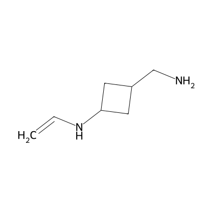 C=CNC1CC(CN)C1